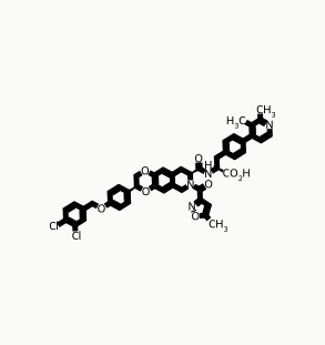 Cc1cc(C(=O)N2Cc3cc4c(cc3C[C@H]2C(=O)N[C@@H](Cc2ccc(-c3ccnc(C)c3C)cc2)C(=O)O)OC[C@H](c2ccc(OCc3ccc(Cl)c(Cl)c3)cc2)O4)no1